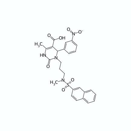 CC1=C(C(=O)O)C(c2cccc([N+](=O)[O-])c2)N(CCCN(C)S(=O)(=O)c2ccc3ccccc3c2)C(=O)N1